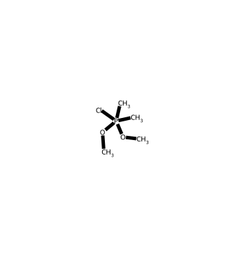 COP(C)(C)(Cl)OC